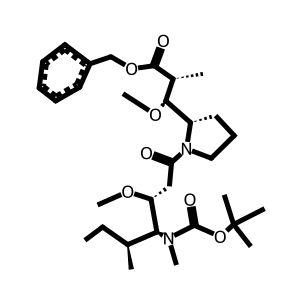 CC[C@H](C)[C@@H]([C@@H](CC(=O)N1CCC[C@H]1[C@H](OC)[C@@H](C)C(=O)OCc1ccccc1)OC)N(C)C(=O)OC(C)(C)C